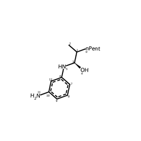 CCCCCC(C)[C@@H](O)Nc1cccc(N)c1